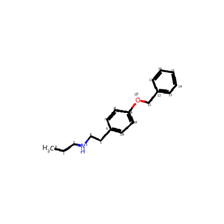 CCCNCCc1ccc(OCc2ccccc2)cc1